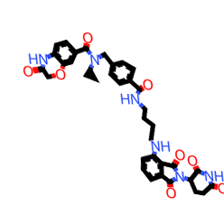 O=C1CCC(N2C(=O)c3cccc(NCCCCNC(=O)c4ccc(CN(C(=O)c5ccc6c(c5)OCC(=O)N6)C5CC5)cc4)c3C2=O)C(=O)N1